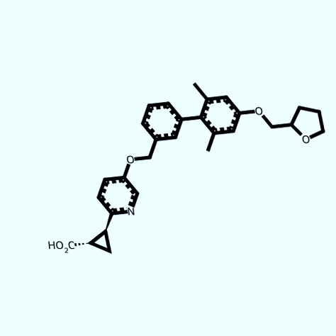 Cc1cc(OCC2CCCO2)cc(C)c1-c1cccc(COc2ccc([C@H]3C[C@@H]3C(=O)O)nc2)c1